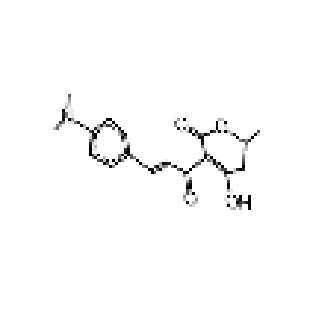 CC1CC(O)=C(C(=O)C=Cc2ccc(N(C)C)cc2)C(=O)O1